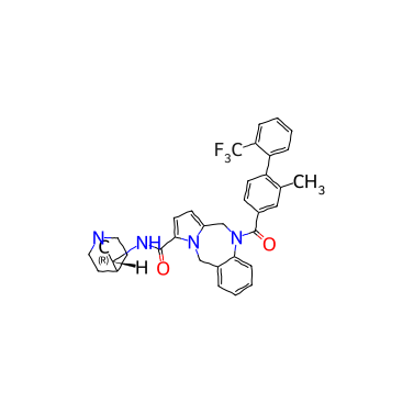 Cc1cc(C(=O)N2Cc3ccc(C(=O)N[C@H]4CN5CCC4CC5)n3Cc3ccccc32)ccc1-c1ccccc1C(F)(F)F